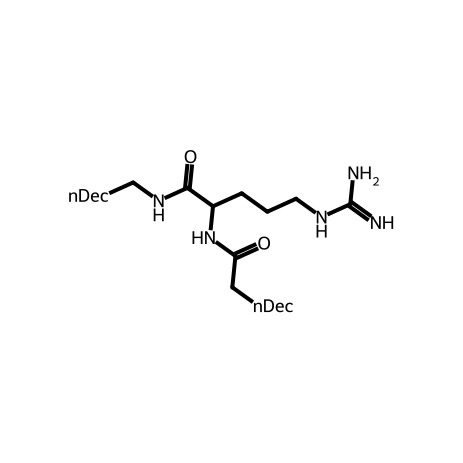 CCCCCCCCCCCNC(=O)C(CCCNC(=N)N)NC(=O)CCCCCCCCCCC